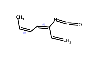 C=C/C(=C\C=C/C)N=C=O